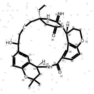 CC[C@]12CCCC(O)c3ccc4c(c3)[C@H](CC(C)(C)O4)NC(=O)c3ccc4c(c3)[C@@H](CCO4)N(C(=N)N1)C(=O)C2